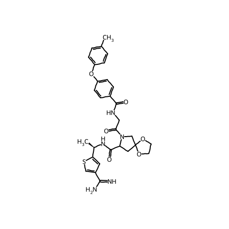 Cc1ccc(Oc2ccc(C(=O)NCC(=O)N3CC4(CC3C(=O)N[C@H](C)c3cc(C(=N)N)cs3)OCCO4)cc2)cc1